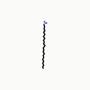 CCCCCCCCCCCCCCCCCCCCCCCCN(C)C